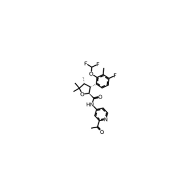 CC(=O)c1cc(NC(=O)[C@H]2OC(C)(C)[C@H](C)[C@@H]2c2ccc(F)c(C)c2OC(F)F)ccn1